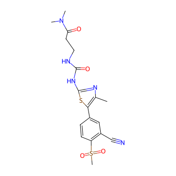 Cc1nc(NC(=O)NCCC(=O)N(C)C)sc1-c1ccc(S(C)(=O)=O)c(C#N)c1